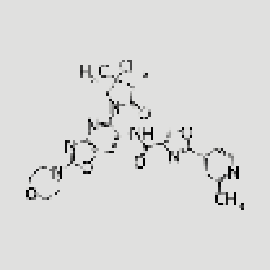 Cc1cc(-c2nc(C(=O)Nc3cc4oc(N5CCOCC5)nc4nc3N3CC(C)(C)CC3=O)co2)ccn1